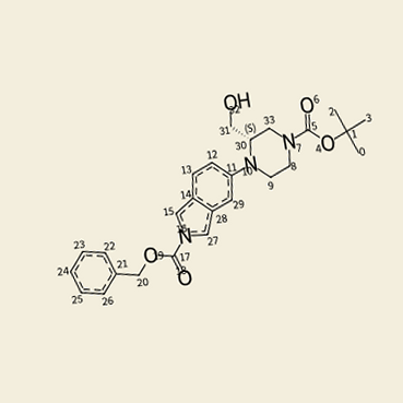 CC(C)(C)OC(=O)N1CCN(c2ccc3cn(C(=O)OCc4ccccc4)cc3c2)[C@H](CO)C1